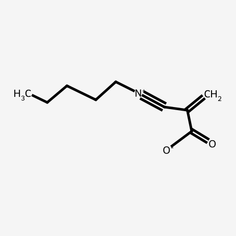 C=C(C#[N+]CCCCC)C(=O)[O-]